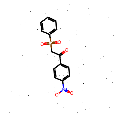 O=C(CS(=O)(=O)c1ccccc1)c1ccc([N+](=O)[O-])cc1